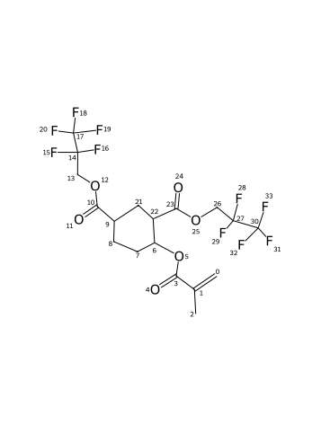 C=C(C)C(=O)OC1CCC(C(=O)OCC(F)(F)C(F)(F)F)CC1C(=O)OCC(F)(F)C(F)(F)F